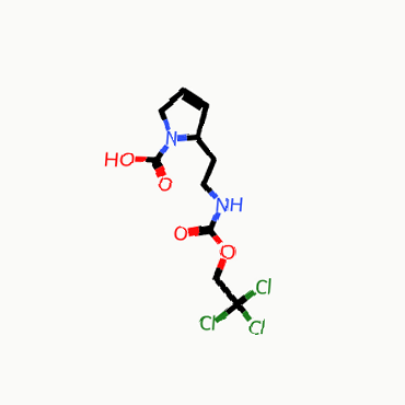 O=C(NCCC1C=CCN1C(=O)O)OCC(Cl)(Cl)Cl